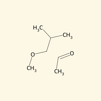 CC=O.COCC(C)C